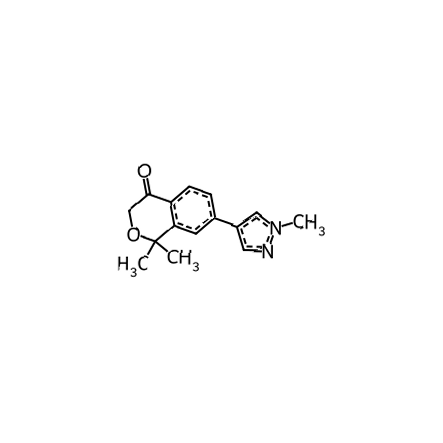 Cn1cc(-c2ccc3c(c2)C(C)(C)OCC3=O)cn1